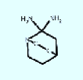 NC1(N)CC2CCN1CC2